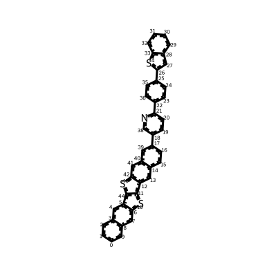 c1ccc2cc3c(cc2c1)sc1c2cc4ccc(-c5ccc(-c6ccc(-c7cc8ccccc8s7)cc6)nc5)cc4cc2sc31